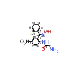 NCC(=O)Nc1ccc([N+](=O)[O-])cc1/C(=N/O)c1ccccc1F